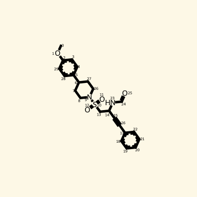 COc1ccc(C2CCN(S(=O)(=O)CC(C#Cc3ccccc3)NC=O)CC2)cc1